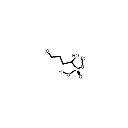 CCOP(=O)(OCC)C(O)CCCO